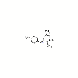 C=C(C)/C(=C/c1ccc(C)cc1)SC(C)=S